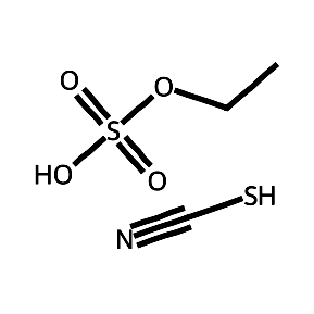 CCOS(=O)(=O)O.N#CS